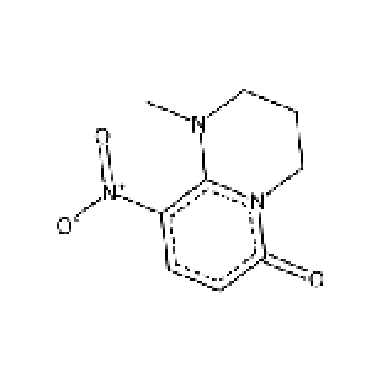 CN1CCCn2c1c([N+](=O)[O-])ccc2=O